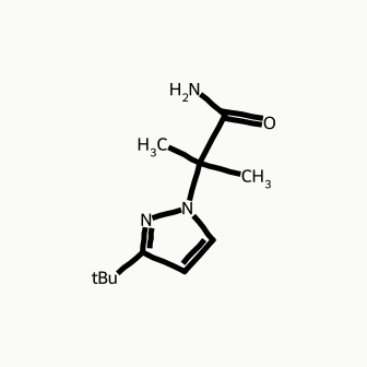 CC(C)(C)c1ccn(C(C)(C)C(N)=O)n1